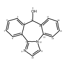 OC1c2ccccc2-c2nccn2-c2ccccc21